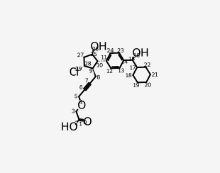 O=C(O)COCC#CC[C@@H]1[C@@H](c2ccc(C(O)C3CCCCC3)cc2)[C@H](O)C[C@H]1Cl